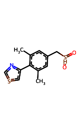 Cc1cc(C[SH](=O)=O)cc(C)c1-c1cscn1